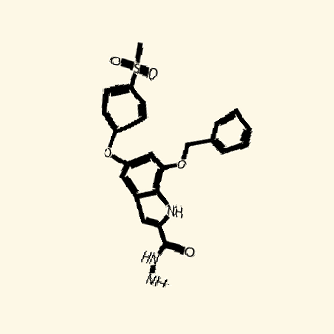 CS(=O)(=O)c1ccc(Oc2cc(OCc3ccccc3)c3[nH]c(C(=O)N[NH])cc3c2)cc1